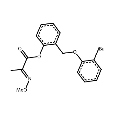 CCC(C)c1ccccc1OCc1ccccc1OC(=O)C(C)=NOC